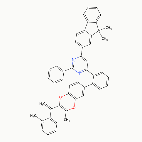 C=C(C1=C(C)Oc2cc(-c3ccccc3-c3cc(-c4ccc5c(c4)C(C)(C)c4ccccc4-5)nc(-c4ccccc4)n3)ccc2O1)c1ccccc1C